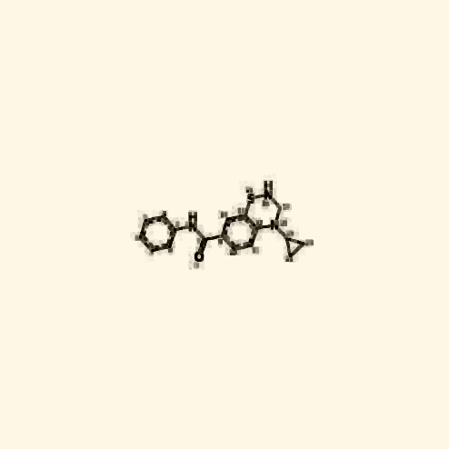 O=C(Nc1ccccc1)c1ccc2c(c1)SNCN2C1CC1